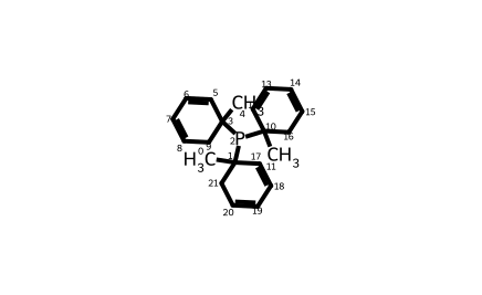 CC1(P(C2(C)C=CC=CC2)C2(C)C=CC=CC2)C=CC=CC1